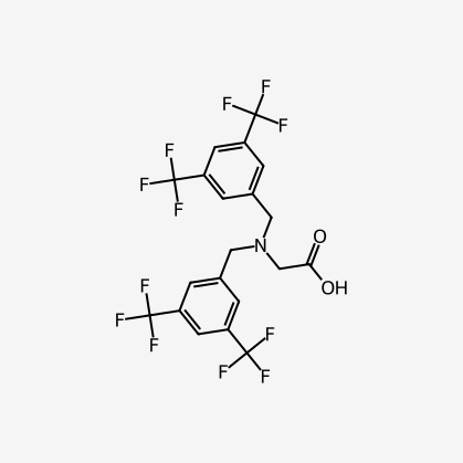 O=C(O)CN(Cc1cc(C(F)(F)F)cc(C(F)(F)F)c1)Cc1cc(C(F)(F)F)cc(C(F)(F)F)c1